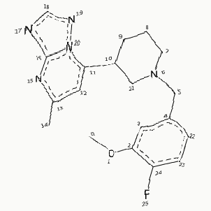 COc1cc(CN2CCCC(c3cc(C)nc4ncnn34)C2)ccc1F